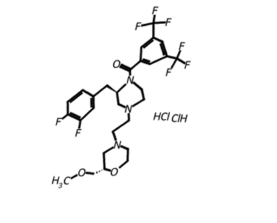 COC[C@@H]1CN(CCN2CCN(C(=O)c3cc(C(F)(F)F)cc(C(F)(F)F)c3)[C@H](Cc3ccc(F)c(F)c3)C2)CCO1.Cl.Cl